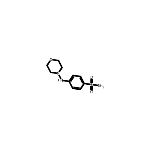 NS(=O)(=O)c1ccc(NN2CCOCC2)cc1